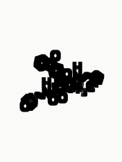 CN1CCCC1CCNc1c(F)cc2c(=O)c(C(=O)NCCN3CCOCC3)cn3c4cc5c(cc4oc1c23)c(=O)c1ccccc15